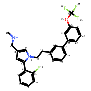 CNCc1cc(-c2ccccc2F)n(CCc2cccc(-c3cccc(OC(F)(F)F)c3)c2)c1